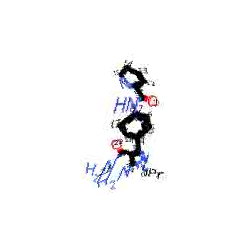 CC(C)n1nc(-c2ccc(NC(=O)c3ccccn3)cc2)c(C(N)=O)c1N